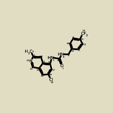 Cc1cc2c(NC(=O)NCc3ccc(C(F)(F)F)cc3)cc(Cl)cc2cn1